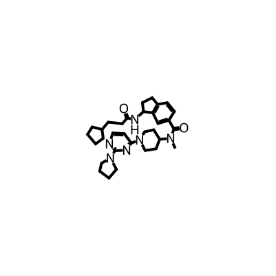 CN(C(=O)c1ccc2c(c1)C(NC(=O)CCC1CCCC1)CC2)C1CCN(c2ccnc(N3CCCC3)n2)CC1